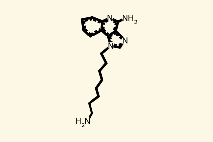 NCCCCCCCCn1cnc2c(N)nc3ccccc3c21